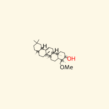 COC[C@@]1(C)C2CC[C@]3(C)[C@H](CC=C4[C@H]5CC(C)(C)CC[C@]5(C)CC[C@]43C)[C@@]2(C)CC[C@@H]1O